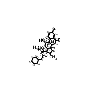 COC(=O)[C@@]1(OC(=O)CC2CCCCC2)[C@H](C)C[C@H]2[C@@H]3C[C@H](F)C4=CC(=O)C=C[C@]4(C)[C@@]3(Cl)[C@@H](O)C[C@@]21C